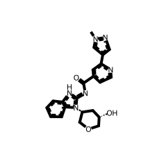 Cn1cc(-c2cc(C(=O)/N=c3\[nH]c4ccccc4n3[C@H]3COC[C@@H](O)C3)ccn2)cn1